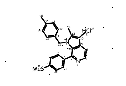 CSc1ccc(-c2nccc3c(C)c(C)n(Cc4ccc(C)cc4)c23)cc1.Cl